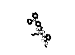 CCCCN1C(=O)/C(=C\c2ccc(N(c3ccccc3)c3ccccc3)cc2)O/C1=N\c1ccccc1C(=O)OCC